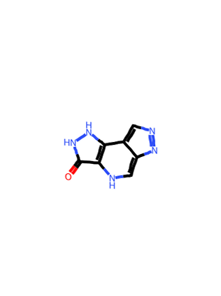 O=c1[nH][nH]c2c3cnnc-3c[nH]c12